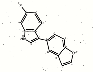 Fc1ccc2c(-c3ccc4occc4c3)c[nH]c2c1